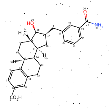 C[C@]12CC[C@@H]3c4ccc(C(=O)O)cc4CCC3[C@@H]1C[C@H](Cc1cccc(C(N)=O)c1)[C@@H]2O